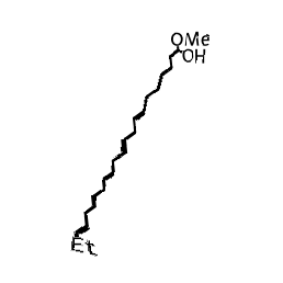 CC/C=C/C/C=C/C/C=C/C/C=C/C/C=C/CCCCCC(O)OC